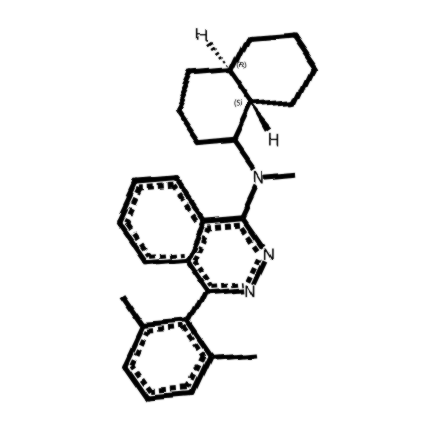 Cc1cccc(C)c1-c1nnc(N(C)C2CCC[C@H]3CCCC[C@H]23)c2ccccc12